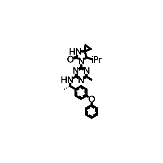 Cc1nc(N[C@@H](C)c2ccc(Oc3ccccc3)cc2)nc(N2C(=O)NC3(CC3)C2C(C)C)n1